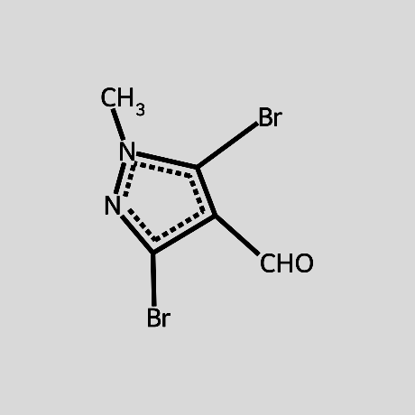 Cn1nc(Br)c(C=O)c1Br